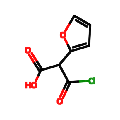 O=C(O)C(C(=O)Cl)c1ccco1